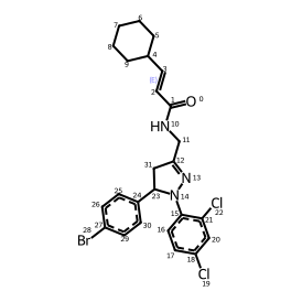 O=C(/C=C/C1CCCCC1)NCC1=NN(c2ccc(Cl)cc2Cl)C(c2ccc(Br)cc2)C1